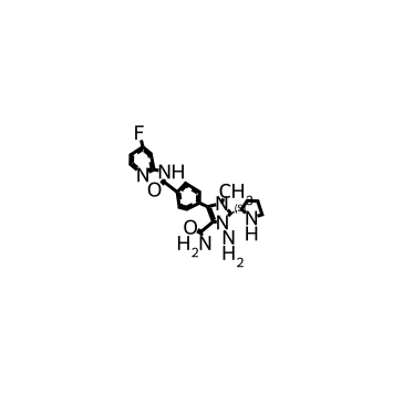 CN1C(c2ccc(C(=O)Nc3cc(F)ccn3)cc2)=C(C(N)=O)N(N)C1[C@@H]1CCCN1